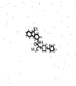 CCn1c2ccccc2c2cc(NC(=O)C(C)N3CCN(c4ccccn4)CC3)ccc21